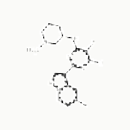 Cc1ccn2ncc(-c3nc(Cl)c(F)c(N[C@@H]4CCCN(C(=O)O)C4)n3)c2c1